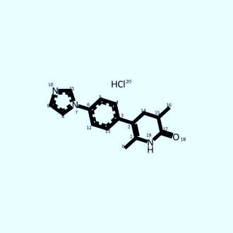 CC1=C(c2ccc(-n3ccnc3)cc2)CC(C)C(=O)N1.Cl